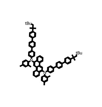 Cc1ccc(N(c2ccc(-c3ccc(-c4ccc(C(C)(C)CC(C)(C)C)cc4)cc3)cc2)c2cc3c4ccccc4c(N(c4ccc(-c5ccc(-c6ccc(C(C)(C)CC(C)(C)C)cc6)cc5)cc4)c4ccc(C)cc4C)cc3c3ccccc23)c(C)c1